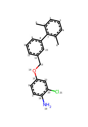 Cc1cccc(C)c1-c1cccc(COc2ccc(N)c(Cl)c2)c1